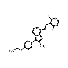 CCOc1ccc(-c2c(C)nc3c(OCc4c(F)cccc4F)cccn23)cc1